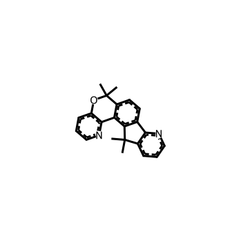 CC1(C)Oc2cccnc2-c2c1ccc1c2C(C)(C)c2cccnc2-1